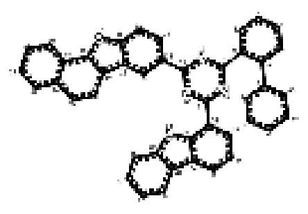 c1ccc(-c2ccccc2-c2nc(-c3ccc4oc5c6ccccc6ccc5c4c3)nc(-c3cccc4c3sc3ccccc34)n2)cc1